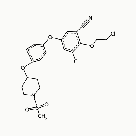 CS(=O)(=O)N1CCC(Oc2ccc(Oc3cc(Cl)c(OCCCl)c(C#N)c3)cc2)CC1